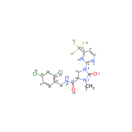 CN1C(=O)N(c2nccc(C(F)(F)F)n2)CC1C(=O)NCC1=C(Cl)CC(Cl)C=C1